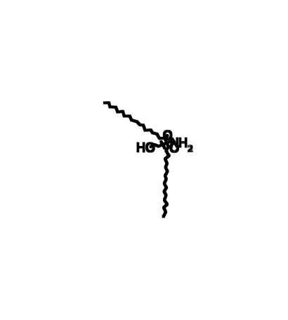 CCCCCCCCCCCCCCCCCC(=O)C(CN)(C(=O)CCCCCCCCCCCCCCCCC)C(C)(C)CCO